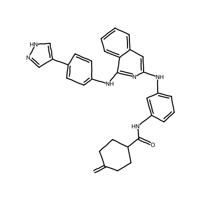 C=C1CCC(C(=O)Nc2cccc(Nc3cc4ccccc4c(Nc4ccc(-c5cn[nH]c5)cc4)n3)c2)CC1